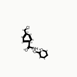 O=C(NOC1CCCCO1)c1ccc(CCl)cc1